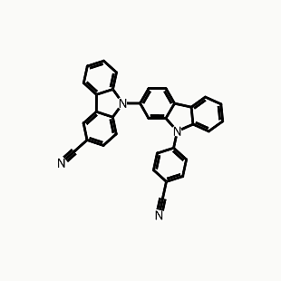 N#Cc1ccc(-n2c3ccccc3c3ccc(-n4c5ccccc5c5cc(C#N)ccc54)cc32)cc1